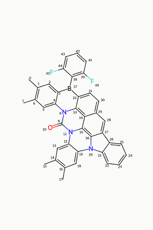 Cc1cc2c(cc1C)-n1c(=O)n3c4cc(C)c(C)cc4n4c5ccccc5c5cc6ccc(c1c6c-3c54)B2c1c(F)cccc1F